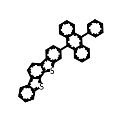 c1ccc(-c2c3ccccc3c(-c3ccc4c(c3)sc3c4ccc4c5ccccc5sc43)c3ccccc23)cc1